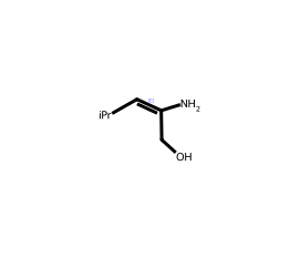 CC(C)/C=C(/N)CO